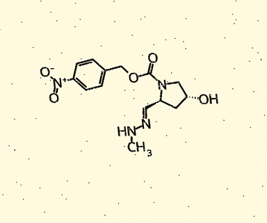 CN/N=C/[C@@H]1C[C@@H](O)CN1C(=O)OCc1ccc([N+](=O)[O-])cc1